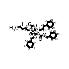 CCCCCN(C(C)=O)S(=O)(=O)[C@H](OCc1ccccc1)N(CCCc1ccccc1)C(=O)OCc1ccccc1